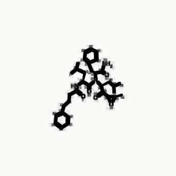 CC(C)C[C@H](NC(=O)CCCc1ccccc1)C(=O)N([C@@H](Cc1ccccc1)C(N)=O)[C@@H](CC(C)C)C(=O)C1O[C@@H]1C